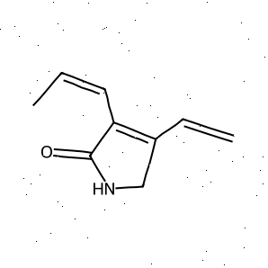 C=CC1=C(/C=C\C)C(=O)NC1